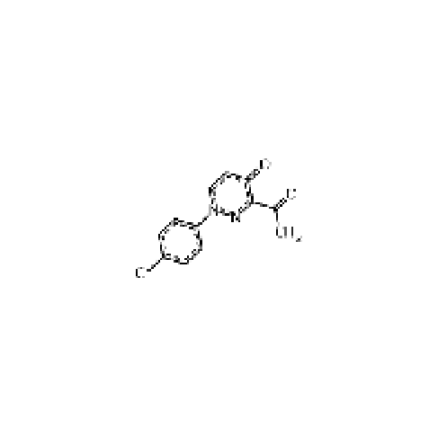 CC(=O)c1nn(-c2ccc(Cl)cc2)ccc1=O